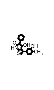 Cc1ccc(-c2csc3[nH]c(=O)c(-c4ccccc4)c(O)c23)cc1O